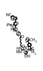 Cc1ncsc1-c1ccc([C@H](C)NC(=O)[C@@H]2C[C@@H](O)CN2C(=O)C(NC(=O)CCCCCC(=O)N2CCN(c3nnc(-c4cnc(-c5ccc6cc(C#N)cnn56)cc4NC(C)C)s3)CC2)C(C)(C)C)cc1